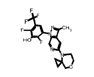 Cc1nn(-c2cc(C(F)(F)F)c(F)c(O)c2F)c2cnc(N3CCOCC34CC4)cc12